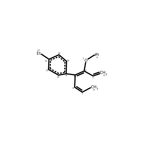 C=C/C(OC(C)C)=C(\C=C/C)c1ccc(CC)cc1